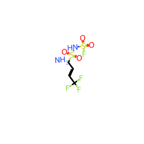 N.O=S(=O)(F)NS(=O)(=O)CC=CC(F)(F)F